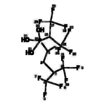 CC(CC(C(F)(F)F)C(F)(F)F)P(O)(O)(O)C(C(F)(F)F)C(F)(F)F